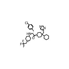 O=C([C@@H](Cc1ccc(Cl)cc1)NC1CCN(CC(F)(F)F)CC1)N1CCC(Cn2cncn2)(C2CCCCC2)CC1